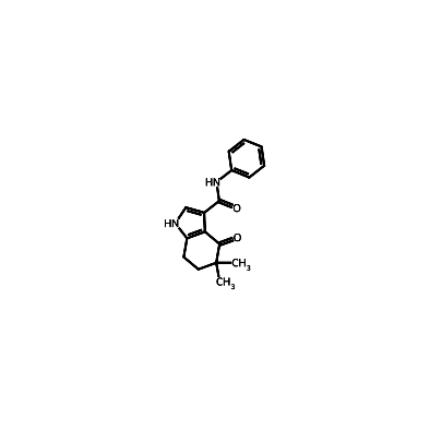 CC1(C)CCc2[nH]cc(C(=O)Nc3ccccc3)c2C1=O